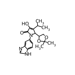 CC(C)C1=C(O)C(=O)N(c2ccc3[nH]cnc3c2)C1C1COC(C)(C)O1